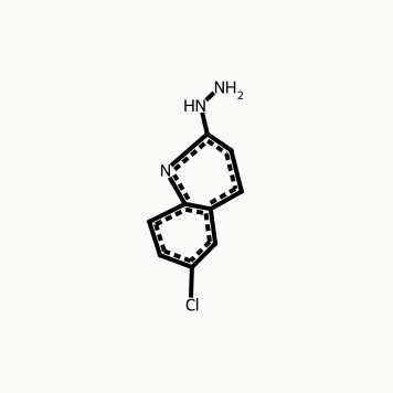 NNc1ccc2cc(Cl)ccc2n1